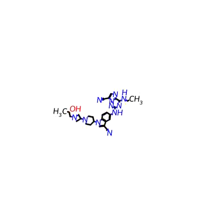 CCNc1nc(Nc2ccc3c(c2)c(C#N)cn3C2CCN(C3CN(CC(C)O)C3)CC2)nn2c(C#N)cnc12